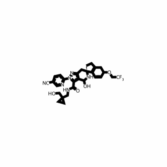 N#Cc1ccc(-n2nc3c(c2C(=O)NCC2(CO)CC2)C(O)N[C@@]2(CCC4=C2C=CC(OCC(F)(F)F)C4)C3)nc1